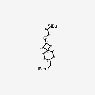 CCCC(C)CN1CCC2(CC1)CC(OCCC(C)CC)C2